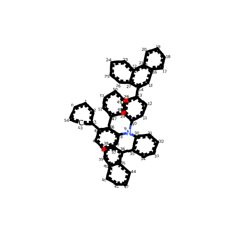 c1ccc(-c2cccc(N(c3ccc(-c4cc5ccccc5c5ccccc45)cc3)c3ccccc3-c3cccc4ccccc34)c2-c2ccccc2)cc1